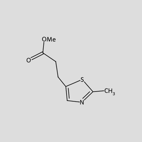 COC(=O)CCc1cnc(C)s1